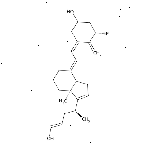 C=C1/C(=C\C=C2/CCC[C@]3(C)C([C@@H](C)C/C=C/O)=CCC23)CC(O)C[C@@H]1F